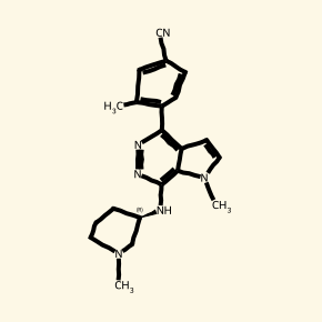 Cc1cc(C#N)ccc1-c1nnc(N[C@@H]2CCCN(C)C2)c2c1ccn2C